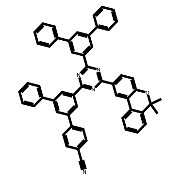 CC1(C)Oc2ccc(-c3nc(-c4cc(-c5ccccc5)cc(-c5ccccc5)c4)nc(-c4cc(-c5ccccc5)cc(-c5ccc(C#N)cc5)c4)n3)cc2-c2ccccc21